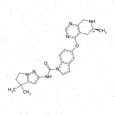 C[C@H]1Cc2c(ncnc2Oc2ccc3c(ccn3C(=O)Nc3cc4n(n3)CCC4(C)C)c2)CN1